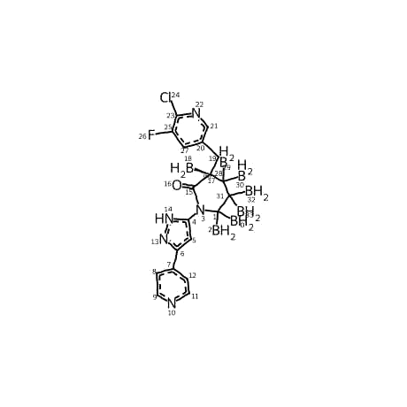 BC1(B)N(c2cc(-c3ccncc3)n[nH]2)C(=O)[C@](B)(Cc2cnc(Cl)c(F)c2)C(B)(B)C1(B)B